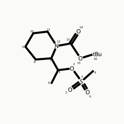 CC(OS(C)(=O)=O)C1CCCCN1C(=O)OC(C)(C)C